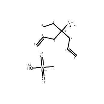 C=CCC(N)(CC)CC=C.CS(=O)(=O)O